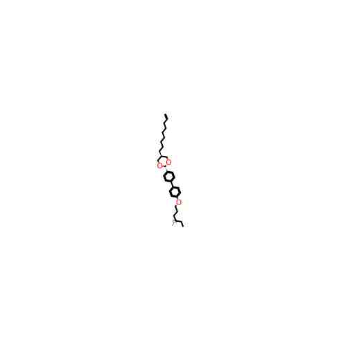 C=CCCCCCCC[C@H]1CO[C@H](c2ccc(-c3ccc(OCCC[C@@H](C)CC)cc3)cc2)OC1